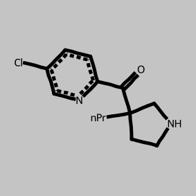 CCCC1(C(=O)c2ccc(Cl)cn2)CCNC1